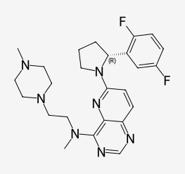 CN1CCN(CCN(C)c2ncnc3ccc(N4CCC[C@@H]4c4cc(F)ccc4F)nc23)CC1